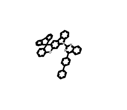 c1ccc(-c2ccc(-c3nc(-n4c5ccccc5c5cc6c(cc54)Oc4ccccc4C64c5ccccc5-c5ccccc54)nc4ccccc34)cc2)cc1